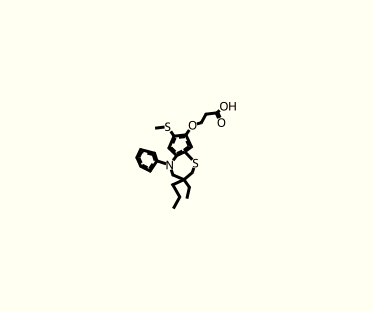 CCCC1(CC)CSc2cc(OCCC(=O)O)c(SC)cc2N(c2ccccc2)C1